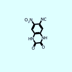 [C-]#[N+]c1cc2[nH]c(=O)c(=O)[nH]c2cc1[N+](=O)[O-]